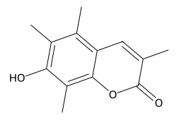 Cc1c(O)c(C)c2oc(=O)c(C)cc2c1C